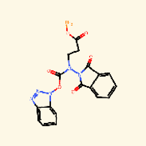 O=C(CCN(C(=O)On1nnc2ccccc21)N1C(=O)c2ccccc2C1=O)OP